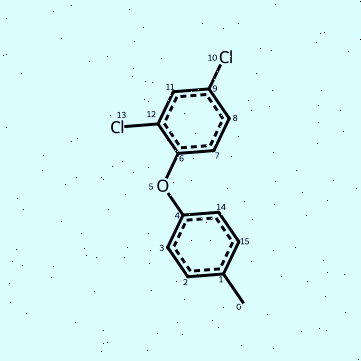 Cc1ccc(Oc2ccc(Cl)cc2Cl)cc1